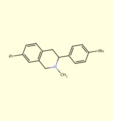 CC(C)c1ccc2c(c1)CN(C)C(c1ccc(C(C)(C)C)cc1)C2